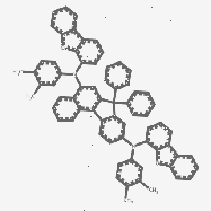 Cc1ccc(N(c2ccc3c(c2)C(c2ccccc2)(c2ccccc2)c2cc(N(c4ccc(C)c(C)c4)c4cccc5c4oc4ccccc45)c4ccccc4c2-3)c2cccc3c2oc2ccccc23)cc1C